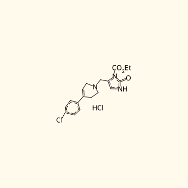 CCOC(=O)n1c(CN2CC=C(c3ccc(Cl)cc3)CC2)c[nH]c1=O.Cl